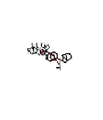 COC(=O)c1ccc(CN2C3CCC2CC(Nc2ccc(OCc4cscn4)cc2)C3)cc1